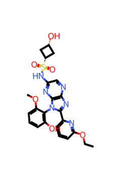 CCOC1=NC(c2nc3ncc(NS(=O)(=O)[C@H]4C[C@@H](O)C4)nc3n2-c2c(O)cccc2OC)=C=C=C1